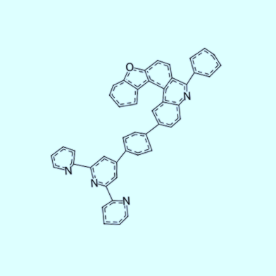 c1ccc(-c2nc3ccc(-c4ccc(-c5cc(-c6ccccn6)nc(-c6ccccn6)c5)cc4)cc3c3c2ccc2oc4ccccc4c23)cc1